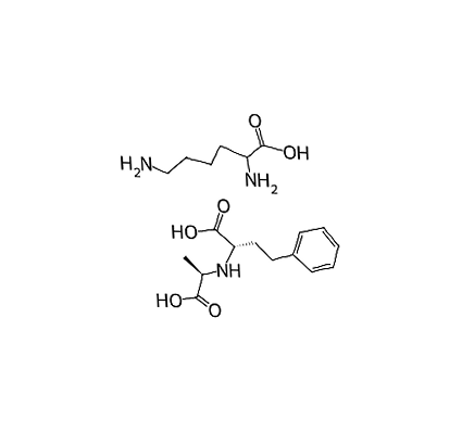 C[C@@H](N[C@@H](CCc1ccccc1)C(=O)O)C(=O)O.NCCCCC(N)C(=O)O